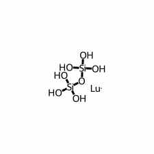 O[Si](O)(O)O[Si](O)(O)O.[Lu]